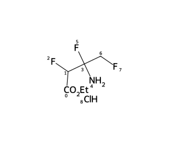 CCOC(=O)C(F)C(N)(F)CF.Cl